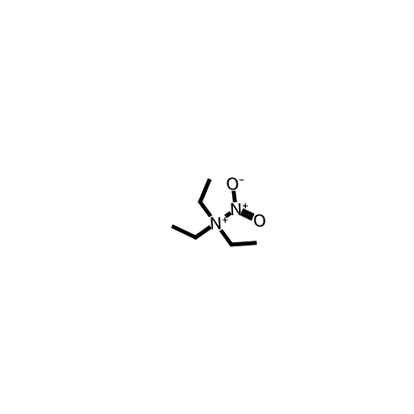 CC[N+](CC)(CC)[N+](=O)[O-]